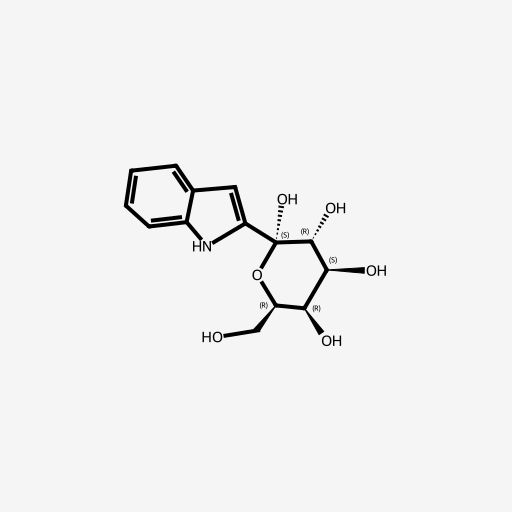 OC[C@H]1O[C@@](O)(c2cc3ccccc3[nH]2)[C@H](O)[C@@H](O)[C@H]1O